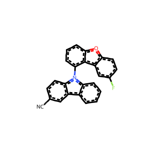 N#Cc1ccc2c(c1)c1ccccc1n2-c1cccc2oc3ccc(F)cc3c12